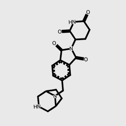 O=C1CCC(N2C(=O)c3ccc(CN4C5CCC4CNC5)cc3C2=O)C(=O)N1